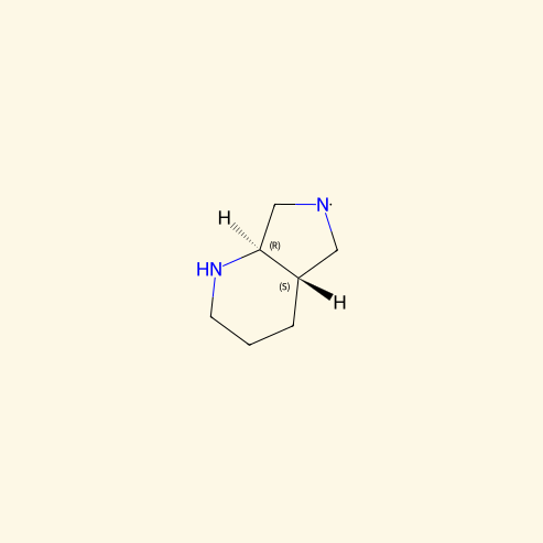 C1CN[C@H]2C[N]C[C@@H]2C1